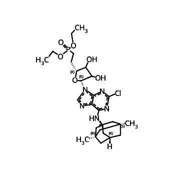 CCOP(=O)(CC[C@H]1O[C@@H](n2cnc3c(N[C@@]45C[C@@H]6C[C@@](C)(C[C@@](C)(C6)C4)C5)nc(Cl)nc32)C(O)C1O)OCC